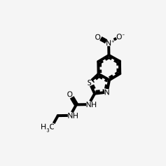 CCNC(=O)Nc1nc2ccc([N+](=O)[O-])cc2s1